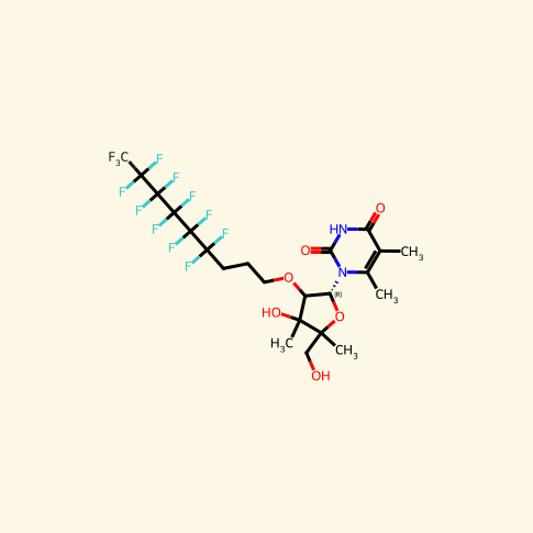 Cc1c(C)n([C@@H]2OC(C)(CO)C(C)(O)C2OCCCC(F)(F)C(F)(F)C(F)(F)C(F)(F)C(F)(F)C(F)(F)F)c(=O)[nH]c1=O